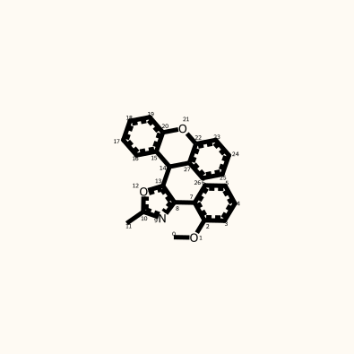 COc1ccccc1-c1nc(C)oc1C1c2ccccc2Oc2ccccc21